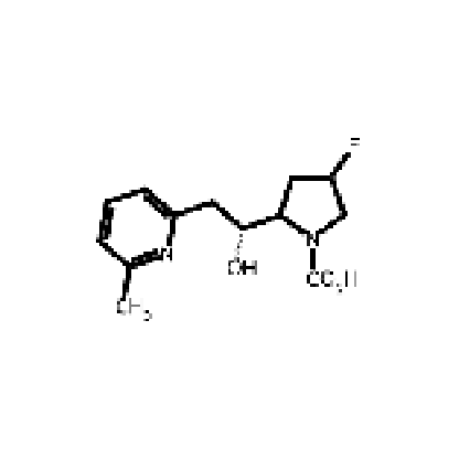 Cc1cccc(C[C@@H](O)C2CC(F)CN2C(=O)O)n1